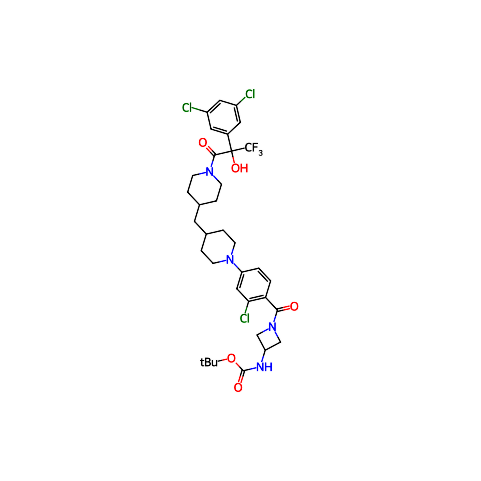 CC(C)(C)OC(=O)NC1CN(C(=O)c2ccc(N3CCC(CC4CCN(C(=O)C(O)(c5cc(Cl)cc(Cl)c5)C(F)(F)F)CC4)CC3)cc2Cl)C1